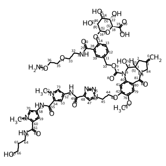 C=C1C[C@H]2C(O)N(C(=O)OCc3ccc(O[C@@H]4O[C@H](C(=O)O)[C@@H](O)[C@H](O)[C@H]4O)c(C(=O)NCCOCCON)c3)c3cc(OCCn4cc(C(=O)Nc5cc(C(=O)Nc6cc(C(=O)NCCCO)n(C)c6)n(C)c5)nn4)c(OC)cc3C(=O)N2C1